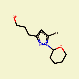 CCc1cc(CCCO)nn1C1CCCCO1